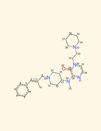 C/C(=C\c1ccccc1)CN1CCC(N(C)c2nccn(CCN3CCCCC3)c2=O)CC1